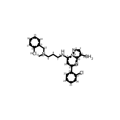 Bc1cnn2c(NCCCN(C)Cc3ccccc3Cl)cc(-c3ccccc3Cl)nc12